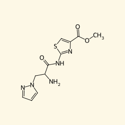 COC(=O)c1csc(NC(=O)C(N)Cn2cccn2)n1